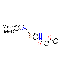 COc1cc2c(cc1OC)CN(CCCSc1ccc(NC(=O)c3cccc(C(=O)c4ccccc4)c3)cc1)CC2